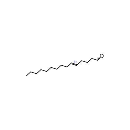 CCCCCCCCC/C=C/CCCC=O